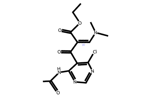 CCOC(=O)/C(=C\N(C)C)C(=O)c1c(Cl)ncnc1NC(C)=O